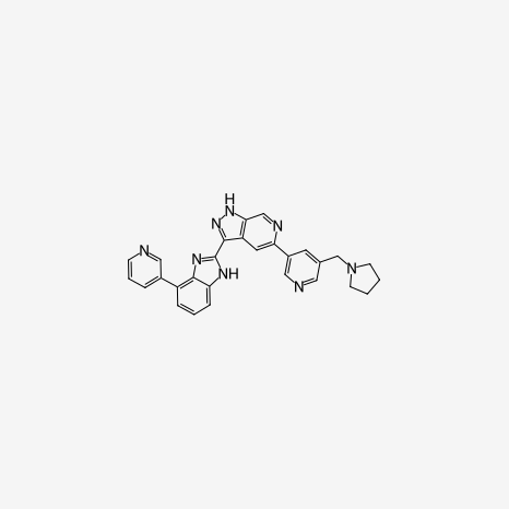 c1cncc(-c2cccc3[nH]c(-c4n[nH]c5cnc(-c6cncc(CN7CCCC7)c6)cc45)nc23)c1